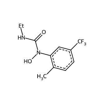 CCNC(=O)N(O)c1cc(C(F)(F)F)ccc1C